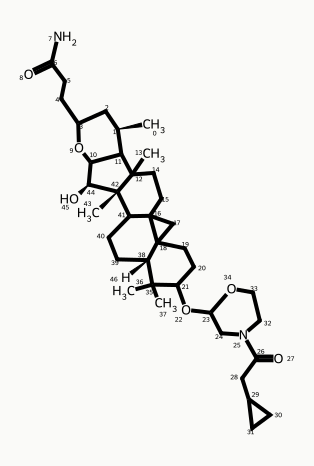 C[C@@H]1CC(CCC(N)=O)OC2C1C1(C)CCC34CC35CCC(OC3CN(C(=O)CC6CC6)CCO3)C(C)(C)[C@@H]5CCC4[C@]1(C)[C@H]2O